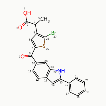 CC(C(=O)O)c1cc(C(=O)c2ccc3cc(-c4ccccc4)[nH]c3c2)sc1Br